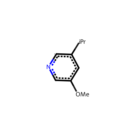 COc1cn[c]c(C(C)C)c1